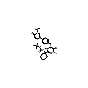 CC(C)n1cc(-c2ccc(C[C@H](NC(=O)C3(NC(=O)OC(C)(C)C)CCCCC3)C(N)=O)cc2)ccc1=O